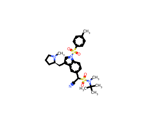 Cc1ccc(S(=O)(=O)n2cc(C[C@H]3CCCN3C)c3cc(C(C#N)S(=O)(=O)N(C)C(C)(C)C)ccc32)cc1